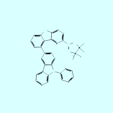 CC1(C)OB(c2ccc3oc4cccc(-c5ccc6c(c5)c5ccccc5n6-c5ccccc5)c4c3c2)OC1(C)C